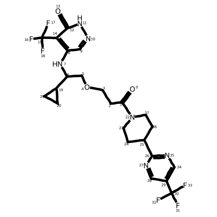 O=C(CCOCC(Nc1cn[nH]c(=O)c1C(F)(F)F)C1CC1)N1CCC(c2ncc(C(F)(F)F)cn2)CC1